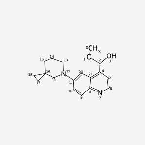 COC(O)c1ccnc2ccc(N3CCCC4(CC4)C3)cc12